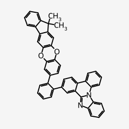 CC1(C)c2ccccc2-c2cc3c(cc21)Oc1ccc(-c2ccccc2-c2ccc4c5ccccc5n5c6ccccc6nc5c4c2)cc1O3